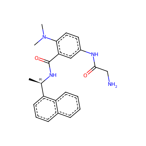 C[C@@H](NC(=O)c1cc(NC(=O)CN)ccc1N(C)C)c1cccc2ccccc12